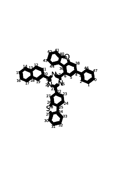 c1ccc(-c2cc(-c3nc(-c4ccc5ccccc5c4)nc(-c4ccc5c(c4)sc4ccccc45)n3)c3c(c2)oc2ccccc23)cc1